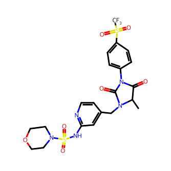 CC1C(=O)N(c2ccc(S(=O)(=O)C(F)(F)F)cc2)C(=O)N1Cc1ccnc(NS(=O)(=O)N2CCOCC2)c1